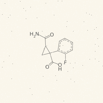 NC(=O)C1CC1(C(=O)O)c1ccccc1F